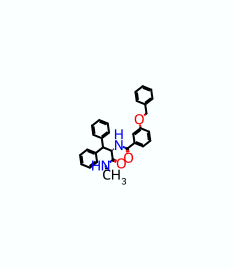 CNC(=O)[C@@H](NC(=O)c1cccc(OCc2ccccc2)c1)C(c1ccccc1)c1ccccc1